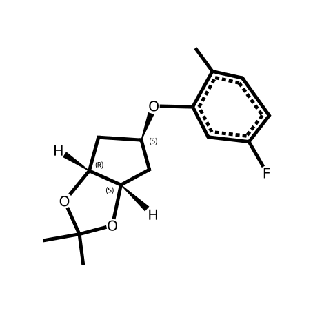 Cc1ccc(F)cc1O[C@H]1C[C@@H]2OC(C)(C)O[C@@H]2C1